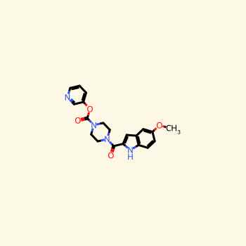 COc1ccc2[nH]c(C(=O)N3CCN(C(=O)Oc4cccnc4)CC3)cc2c1